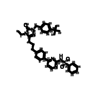 CCn1c(CCCc2ccc(-c3ccnc(NS(=O)(=O)c4ccccc4)n3)cc2)nn(Cc2ccc(C(C)(C)C)cc2)c1=O